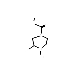 CCC1CN(C(=O)OC(C)(C)C)CCN1C(C)C